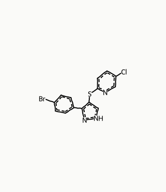 Clc1ccc(Sc2c[nH]nc2-c2ccc(Br)cc2)nc1